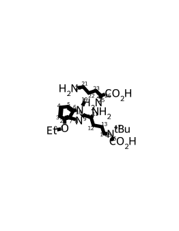 CCOc1cccc2c1nc(C(N)CCCN(C(=O)O)C(C)(C)C)n2C.NCCCC(N)C(=O)O